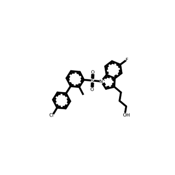 Cc1c(-c2ccc(Cl)cc2)cccc1S(=O)(=O)n1cc(CCCO)c2cc(F)ccc21